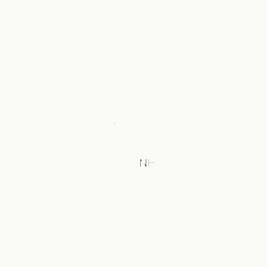 CC1(C)c2ccccc2-c2cc3c(cc21)-c1ccc(Nc2cccc4c2-c2ccccc2C4(C)C)cc1C3(C)C